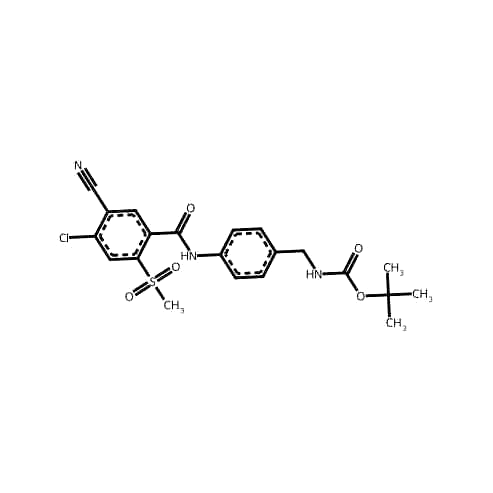 CC(C)(C)OC(=O)NCc1ccc(NC(=O)c2cc(C#N)c(Cl)cc2S(C)(=O)=O)cc1